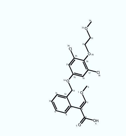 CO/C=C(/C(=O)O)c1ccccc1COc1cc(Cl)c(OCCOC)c(Cl)c1